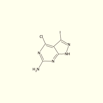 Nc1nc(Cl)c2c(I)n[nH]c2n1